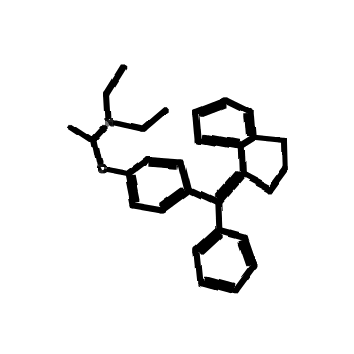 CCN(CC)C(C)Oc1ccc(C(=C2CCCc3ccccc32)c2ccccc2)cc1